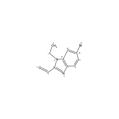 CCn1c(C=O)nc2ccc(Br)cc21